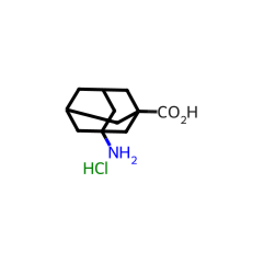 Cl.NC12CC3CC(C1)CC(C(=O)O)(C3)C2